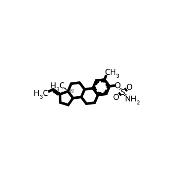 CC=C1CCC2C3CCc4cc(OS(N)(=O)=O)c(C)cc4C3CC[C@]12C